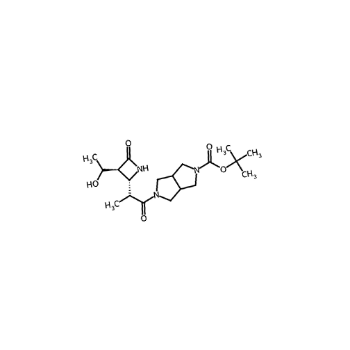 CC(C(=O)N1CC2CN(C(=O)OC(C)(C)C)CC2C1)[C@H]1NC(=O)[C@@H]1C(C)O